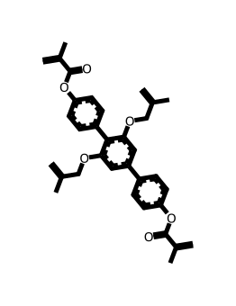 C=C(C)COc1cc(-c2ccc(OC(=O)C(=C)C)cc2)cc(OCC(=C)C)c1-c1ccc(OC(=O)C(=C)C)cc1